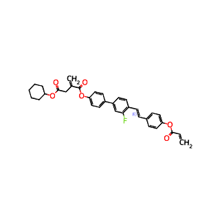 C=CC(=O)Oc1ccc(/C=C/c2ccc(-c3ccc(OC(=O)C(=C)CC(=O)OC4CCCCC4)cc3)cc2F)cc1